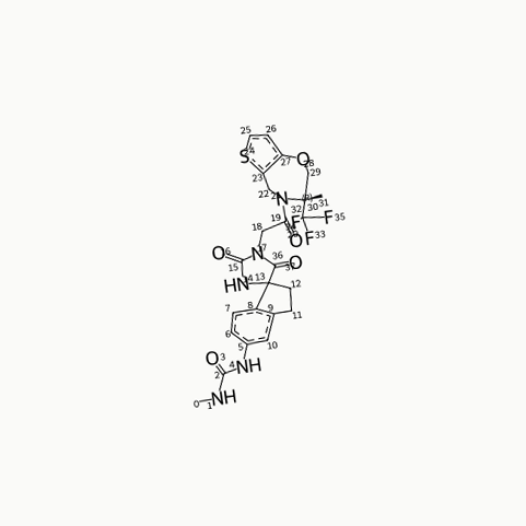 CNC(=O)Nc1ccc2c(c1)CCC21NC(=O)N(CC(=O)N2Cc3sccc3OC[C@]2(C)C(F)(F)F)C1=O